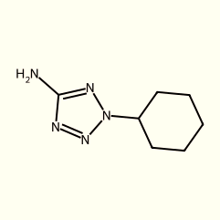 Nc1nnn(C2CCCCC2)n1